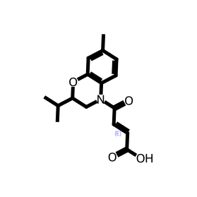 Cc1ccc2c(c1)OC(C(C)C)CN2C(=O)/C=C/C(=O)O